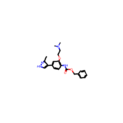 Cc1n[nH]cc1-c1ccc(NC(=O)OCc2ccccc2)c(OCCN(C)C)c1